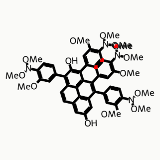 COc1cc(-c2c(-c3ccc(N(OC)OC)c(OC)c3)c3c(-c4ccc(N(OC)OC)c(OC)c4)c(O)c(-c4ccc(N(OC)OC)c(OC)c4)c4ccc5cc(O)cc2c5c43)ccc1N(OC)OC